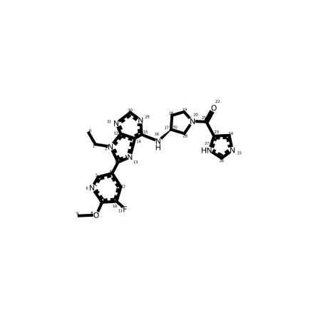 CCn1c(-c2cnc(OC)c(F)c2)nc2c(N[C@H]3CCN(C(=O)c4cnc[nH]4)C3)ncnc21